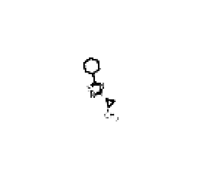 C[C@@H]1C[C@H]1c1nsc(C2CCCCC2)n1